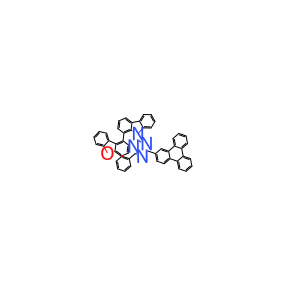 c1ccc(-c2nc(-c3ccc4c5ccccc5c5ccccc5c4c3)nc(-n3c4ccccc4c4cccc(-c5cccc6oc7ccccc7c56)c43)n2)cc1